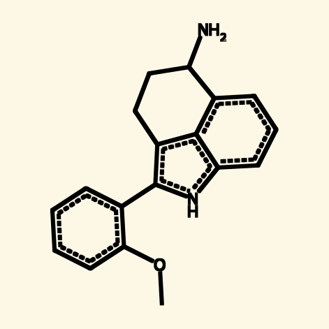 COc1ccccc1-c1[nH]c2cccc3c2c1CCC3N